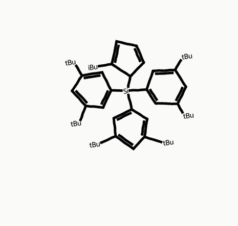 CCC(C)C1=CC=C[C]1[Si](c1cc(C(C)(C)C)cc(C(C)(C)C)c1)(c1cc(C(C)(C)C)cc(C(C)(C)C)c1)c1cc(C(C)(C)C)cc(C(C)(C)C)c1